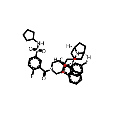 Cc1nc2ccccc2n1[C@H]1C[C@H]2CC[C@@H](C1)N2CCC1(c2cccc(F)c2)CCN(C(=O)c2cc(S(=O)(=O)NC3CCCC3)ccc2F)CC1